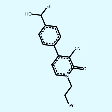 CCC(O)c1ccc(-c2ccn(CCC(C)C)c(=O)c2C#N)cc1